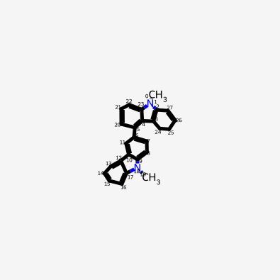 Cn1c2c(c3c(-c4ccc5c(c4)c4ccccc4n5C)cccc31)CCC=C2